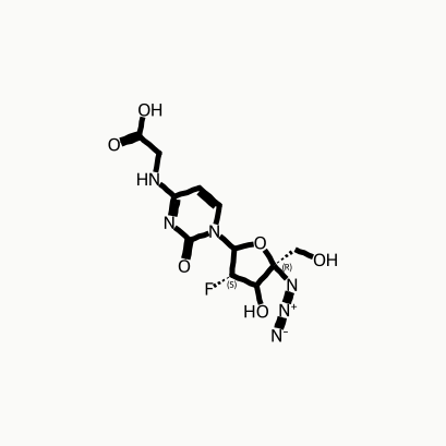 [N-]=[N+]=N[C@]1(CO)OC(n2ccc(NCC(=O)O)nc2=O)[C@@H](F)C1O